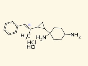 C/C(=C\c1ccccc1)C1CC1C1(N)CCC(N)CC1.Cl.Cl